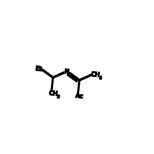 CCC(C)/N=C(/C)C(C)=O